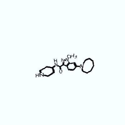 Cn1nc(C(=O)NC2CCNCC2)c2ccc(N3CCCCCCC3)cc21